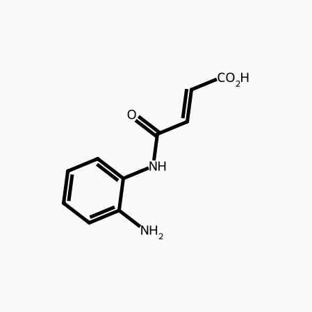 Nc1ccccc1NC(=O)C=CC(=O)O